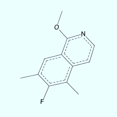 COc1nccc2c(C)c(F)c(C)cc12